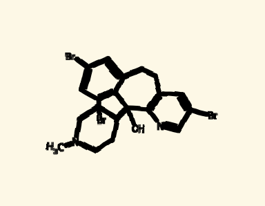 CN1CCC(C2(O)c3ncc(Br)cc3CCc3cc(Br)cc(Br)c32)CC1